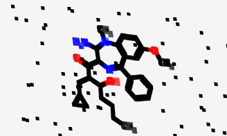 CCCCC(O)C(CC1CC1)C(=O)C1N=C(c2ccccc2)c2cc(OC)ccc2N(C)C1N